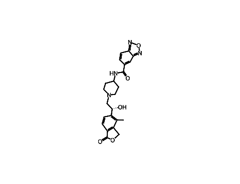 Cc1c([C@@H](O)CN2CCC(NC(=O)c3ccc4nonc4c3)CC2)ccc2c1COC2=O